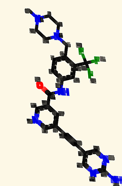 CN1CCN(Cc2ccc(NC(=O)c3cncc(C#Cc4cnc(N)nc4)c3)cc2C(F)(F)F)CC1